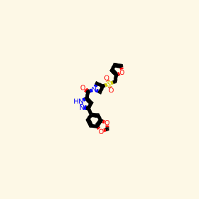 O=C(c1cc(-c2ccc3c(c2)OCO3)n[nH]1)N1CC(S(=O)(=O)Cc2ccco2)C1